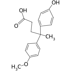 COc1ccc(C(C)(CCC(=O)O)c2ccc(O)cc2)cc1